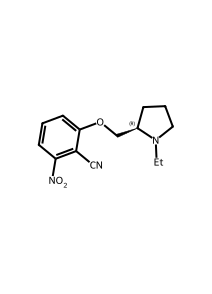 CCN1CCC[C@@H]1COc1cccc([N+](=O)[O-])c1C#N